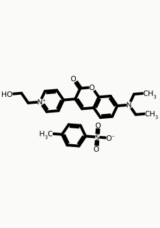 CCN(CC)c1ccc2cc(-c3cc[n+](CCO)cc3)c(=O)oc2c1.Cc1ccc(S(=O)(=O)[O-])cc1